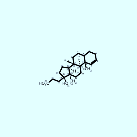 C[C@]12C=CCCC1CC[C@@H]1[C@@H]2CC[C@@]2(C)[C@H]1CC[C@@]2(O)CCC(=O)O